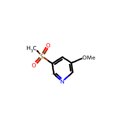 COc1cn[c]c(S(C)(=O)=O)c1